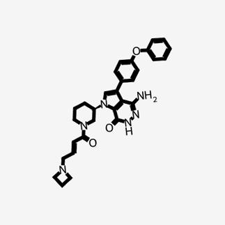 Nc1n[nH]c(=O)c2c1c(-c1ccc(Oc3ccccc3)cc1)cn2[C@@H]1CCCN(C(=O)C=CCN2CCC2)C1